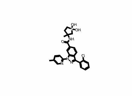 Cc1ccc(-n2nc(-c3ccccc3Cl)c3ccc(C(=O)NC4(C)CCS(O)(O)C4)cc32)nc1